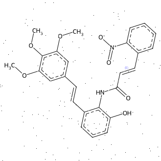 COc1cc(C=Cc2cccc(O)c2NC(=O)/C=C/c2ccccc2[N+](=O)[O-])cc(OC)c1OC